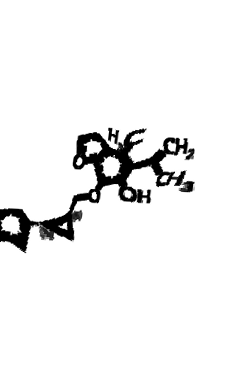 C=C(C)c1c(O)c(OC[C@H]2C[C@@H]2c2ccccc2)c2occc2c1C